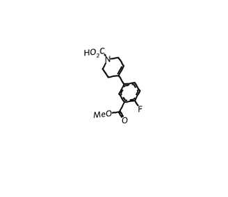 COC(=O)c1cc(C2=CCN(C(=O)O)CC2)ccc1F